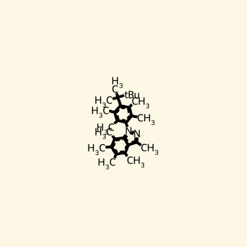 Cc1c(C)c(C(C)(C)C(C)(C)C)c(C)c(C)c1-n1nc(C)c2c(C)c(C)c(C)c(C)c21